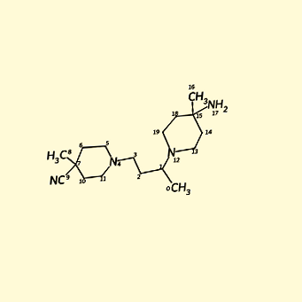 CC(CCN1CCC(C)(C#N)CC1)N1CCC(C)(N)CC1